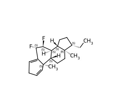 CC[C@H]1CC[C@H]2[C@@H]3[C@H](F)[C@@H](F)C4=CCC=C[C@]4(C)[C@H]3CC[C@]12C